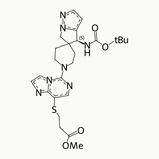 COC(=O)CCSc1cnc(N2CCC3(CC2)Cn2nccc2[C@H]3NC(=O)OC(C)(C)C)n2ccnc12